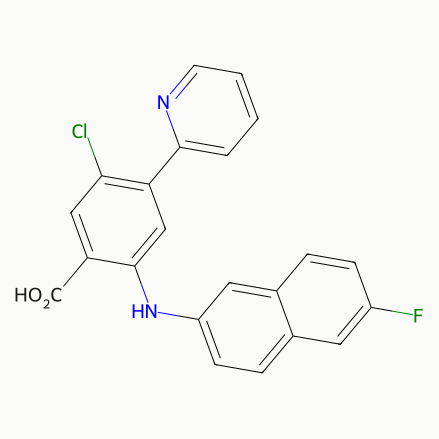 O=C(O)c1cc(Cl)c(-c2ccccn2)cc1Nc1ccc2cc(F)ccc2c1